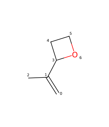 C=C(C)C1CCO1